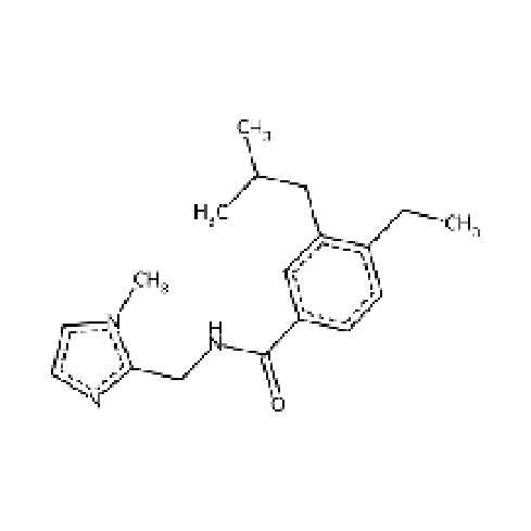 CCc1ccc(C(=O)NCc2nccn2C)cc1CC(C)C